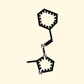 Cc1nccn1N=Cc1ccccc1